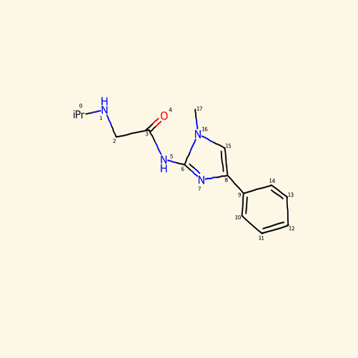 CC(C)NCC(=O)Nc1nc(-c2ccccc2)cn1C